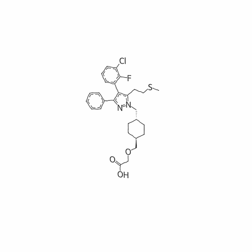 CSCCc1c(-c2cccc(Cl)c2F)c(-c2ccccc2)nn1C[C@H]1CC[C@H](COCC(=O)O)CC1